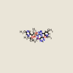 COc1ncnc(OC)c1-n1c(NS(=O)(=O)[C@@H](C)[C@@H](OC(C)C)c2cnc(C)cn2)nnc1-c1cncc(C)c1